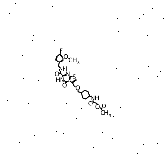 COc1cc(CNC(=O)c2nc3scc(COCC4CCC(NC(=O)COC(C)=O)CC4)c3c(=O)[nH]2)ccc1F